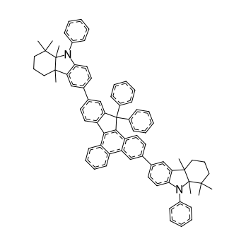 CC1(C)CCCC2(C)c3cc(-c4ccc5c(c4)C(c4ccccc4)(c4ccccc4)c4c-5c5ccccc5c5cc(-c6ccc7c(c6)C6(C)CCCC(C)(C)C6(C)N7c6ccccc6)ccc45)ccc3N(c3ccccc3)C12C